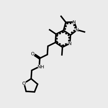 Cc1nc2c(c(C)nn2C)c(C)c1CCC(=O)NCC1CCCO1